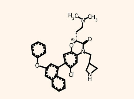 CN(C)CC[C@H]1Oc2cc(-c3cc(Oc4ccccc4)cc4ccccc34)c(Cl)cc2N(CC2CNC2)C1=O